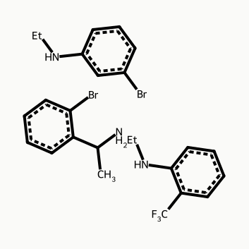 CC(N)c1ccccc1Br.CCNc1cccc(Br)c1.CCNc1ccccc1C(F)(F)F